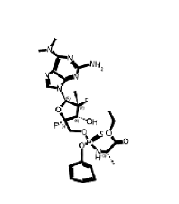 CCOC(=O)[C@H](C)NP(=S)(OC[C@@]1(F)O[C@@H](n2cnc3c(N(C)C)nc(N)nc32)[C@](C)(F)[C@@H]1O)Oc1ccccc1